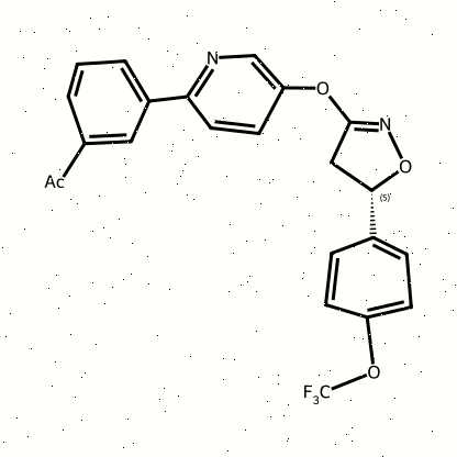 CC(=O)c1cccc(-c2ccc(OC3=NO[C@H](c4ccc(OC(F)(F)F)cc4)C3)cn2)c1